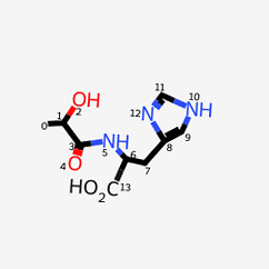 CC(O)C(=O)NC(Cc1c[nH]cn1)C(=O)O